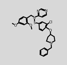 COc1ccc(CN(Sc2ccc(OC3CCN(Cc4ccccc4)CC3)c(Cl)c2)c2ccncn2)c(OC)c1